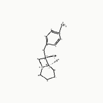 Cc1ccc(C[C@@]2(O)CN3CCCC[C@@H]32)cc1